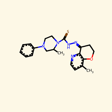 Cc1ccnc2c1OCC/C2=N/NC(=S)N1CCN(c2ccccc2)CC1C